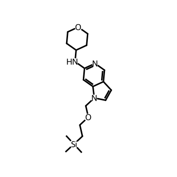 C[Si](C)(C)CCOCn1ccc2cnc(NC3CCOCC3)cc21